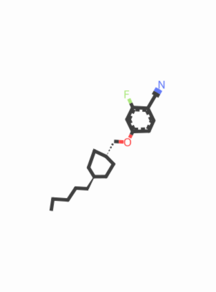 CCCCC[C@H]1CC[C@H](COc2ccc(C#N)c(F)c2)CC1